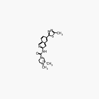 Cc1nnc(-c2ccc3cnc(NC(=O)N4CCN(C)[C@@H](C)C4)cc3c2)s1